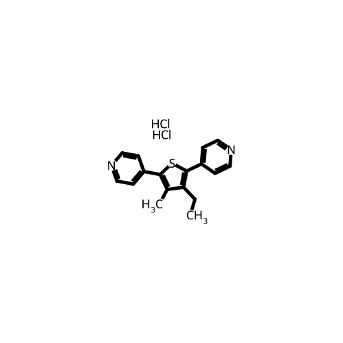 CCc1c(-c2ccncc2)sc(-c2ccncc2)c1C.Cl.Cl